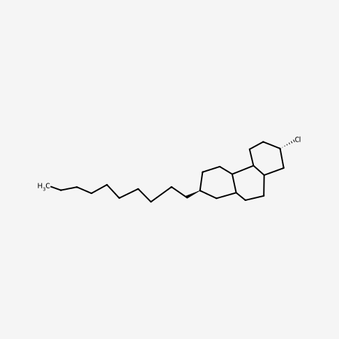 CCCCCCCCCC[C@H]1CCC2C(CCC3C[C@@H](Cl)CCC32)C1